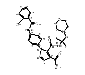 CC(C)(CN1CCOCC1)NC(=O)c1c(C(N)=O)ncn1-c1ccc(NC(=O)c2ccccc2Cl)cc1